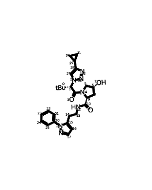 CC(C)(C)[C@@H](C(=O)N1C[C@H](O)C[C@H]1C(=O)NCCc1ccnn1-c1ccccc1)n1cc(C2CC2)nn1